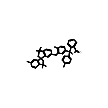 Cc1ccc(C2(c3ccc(C)c(Cc4ccc5c(c4)C4(CC(C)(C)c6ccc(C)cc64)CC5(C)C)c3)OC(=O)c3ccccc32)cc1